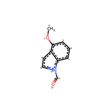 COc1cccc2c1ccn2C=O